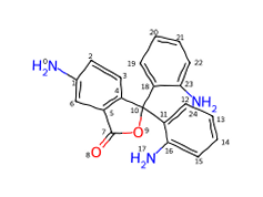 Nc1ccc2c(c1)C(=O)OC2(c1ccccc1N)c1ccccc1N